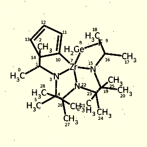 CC(C)[N](C(C)C)[Zr]([GeH2][F])([C]1=CC=CC1)([N](C(C)C)C(C)C)[N](C(C)C)C(C)C